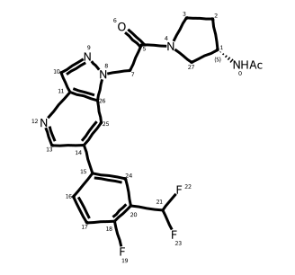 CC(=O)N[C@H]1CCN(C(=O)Cn2ncc3ncc(-c4ccc(F)c(C(F)F)c4)cc32)C1